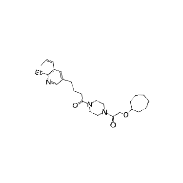 C/C=C\c1cc(CCCC(=O)N2CCN(C(=O)COC3CCCCCC3)CC2)cnc1CC